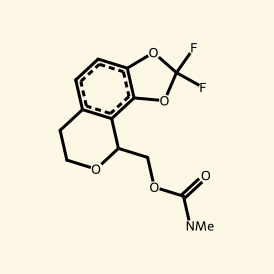 CNC(=O)OCC1OCCc2ccc3c(c21)OC(F)(F)O3